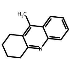 Cc1c2c(nc3ccccc13)CCCC2